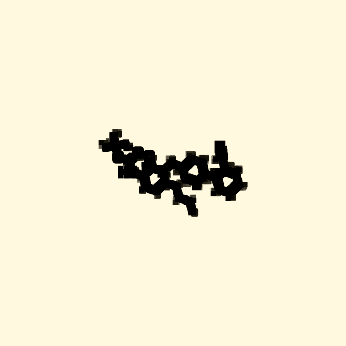 CCCCc1ccc(NC(=O)OC(C)(C)C)c(=O)n1Cc1ccc(-c2ccccc2C#N)cc1